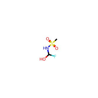 CS(=O)(=O)NC(O)F